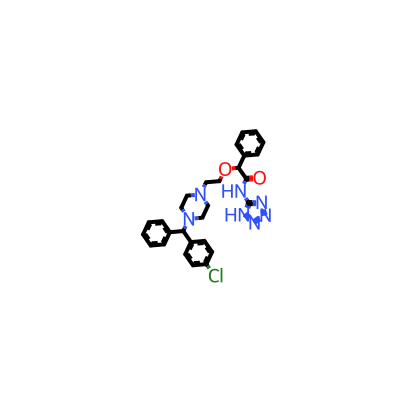 O=C(Nc1nnn[nH]1)C(OCCN1CCN(C(c2ccccc2)c2ccc(Cl)cc2)CC1)c1ccccc1